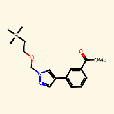 COC(=O)c1cccc(-c2cnn(COCC[Si](C)(C)C)c2)c1